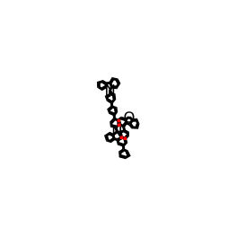 c1ccc(-c2cccc(-c3ccccc3N(c3ccc(-c4ccc(-c5ccc(-n6c7ccccc7c7ccccc76)cc5)cc4)cc3)c3ccccc3-c3cccc4oc5ccccc5c34)c2)cc1